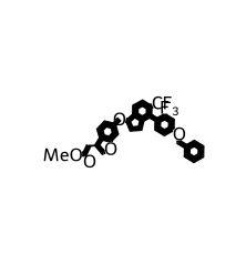 COC(=O)C[C@@H]1COc2cc(OC3CCc4c3ccc(C(F)(F)F)c4-c3ccc(OCc4ccccc4)cc3F)ccc21